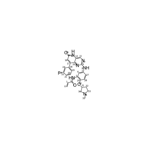 C=CC(=O)Nc1cc(Nc2ncc3[nH]c(=O)cc(-c4cccc(F)c4)c3n2)ccc1OC1CCN(C)C1